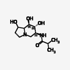 CC(C)C(=O)N[C@H]1CN2CCC(O)C2[C@@H](O)[C@@H]1O